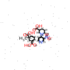 CC1(C(=O)O)C=CC=C(C(=O)O)C1.O=C(O)C1CCCN(c2ccncc2[N+](=O)[O-])C1